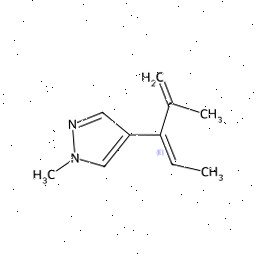 C=C(C)/C(=C\C)c1cnn(C)c1